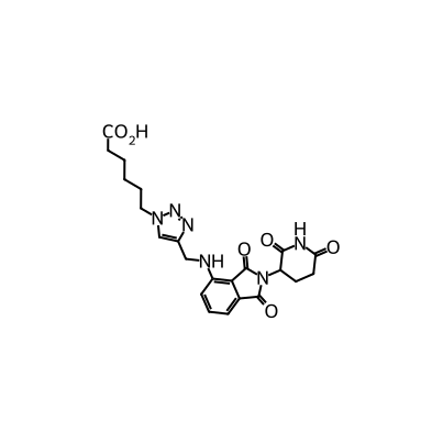 O=C(O)CCCCCn1cc(CNc2cccc3c2C(=O)N(C2CCC(=O)NC2=O)C3=O)nn1